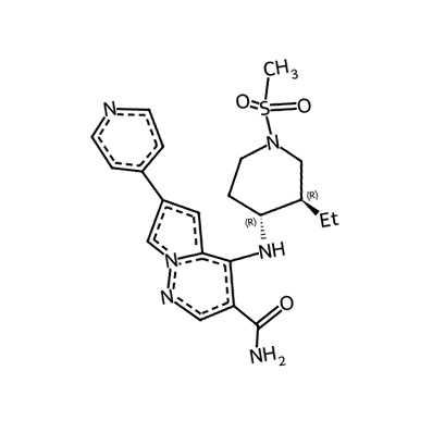 CC[C@@H]1CN(S(C)(=O)=O)CC[C@H]1Nc1c(C(N)=O)cnn2cc(-c3ccncc3)cc12